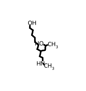 CNCCC(CCCCCCCO)CC(C)O